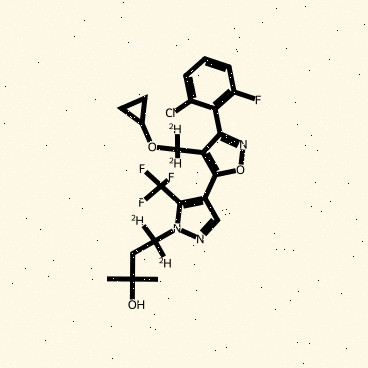 [2H]C([2H])(OC1CC1)c1c(-c2c(F)cccc2Cl)noc1-c1cnn(C([2H])([2H])CC(C)(C)O)c1C(F)(F)F